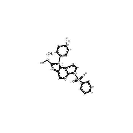 C[C@@H](O)c1nc2cnc3c(ccn3S(=O)(=O)c3ccccc3)c2n1-c1ccc(C#N)cc1